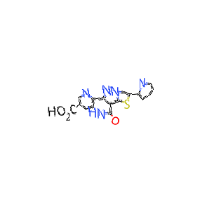 O=C(O)c1cnc2c(c1)[nH]c(=O)c1c2nn2cc(-c3ccccn3)sc12